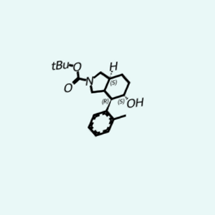 Cc1ccccc1[C@H]1C2CN(C(=O)OC(C)(C)C)C[C@H]2CC[C@@H]1O